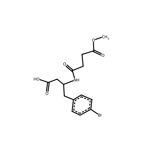 COC(=O)CCC(=O)NC(CC(=O)O)Cc1ccc(Br)cc1